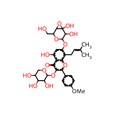 COc1ccc(-c2oc3c(CC=C(C)C)c(OC4OC(CO)C5OC5(O)C4O)cc(O)c3c(=O)c2OC2OCC(O)C(O)C2O)cc1